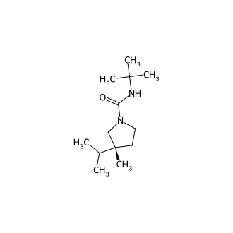 CC(C)[C@@]1(C)CCN(C(=O)NC(C)(C)C)C1